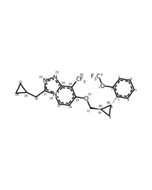 FC(F)(F)Oc1ccccc1[C@@H]1C[C@H]1COc1ccn2c(CC3CC3)nnc2c1C(F)(F)F